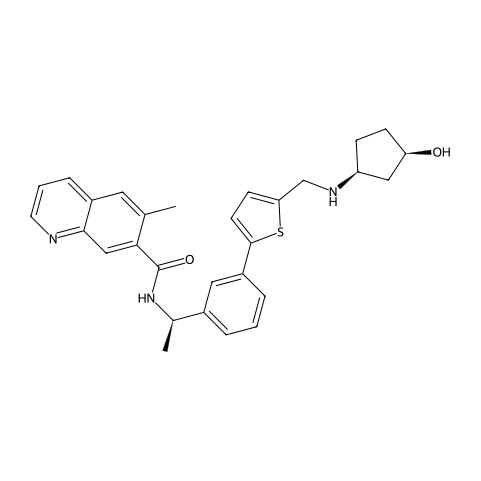 Cc1cc2cccnc2cc1C(=O)N[C@H](C)c1cccc(-c2ccc(CN[C@H]3CC[C@@H](O)C3)s2)c1